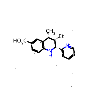 CC[C@H]1[C@@H](C)c2cc(C(=O)O)ccc2N[C@H]1c1ccccn1